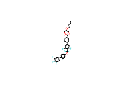 CCCCOC1COC(C2CCC(c3cc(F)c(C(F)(F)Oc4ccc(-c5cc(F)c(F)c(F)c5)c(F)c4)c(F)c3)CC2)OC1